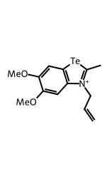 C=CC[n+]1c(C)[te]c2cc(OC)c(OC)cc21